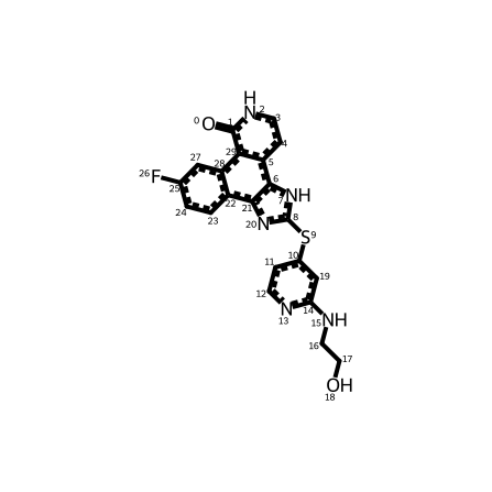 O=c1[nH]ccc2c3[nH]c(Sc4ccnc(NCCO)c4)nc3c3ccc(F)cc3c12